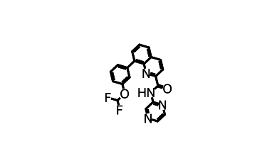 O=C(Nc1cnccn1)c1ccc2cccc(-c3cccc(OC(F)F)c3)c2n1